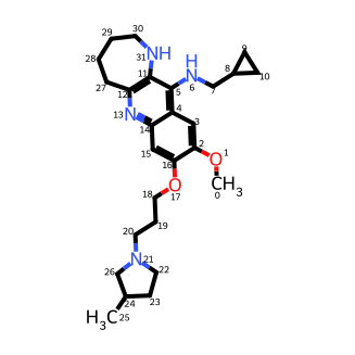 COc1cc2c(NCC3CC3)c3c(nc2cc1OCCCN1CCC(C)C1)CCCCN3